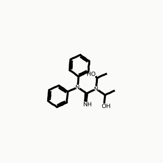 CC(O)N(C(=N)N(c1ccccc1)c1ccccc1)C(C)O